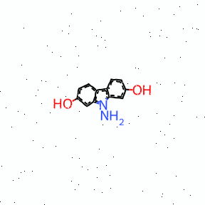 Nn1c2cc(O)ccc2c2ccc(O)cc21